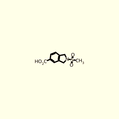 CS(=O)(=O)N1Cc2ccc(C(=O)O)cc2C1